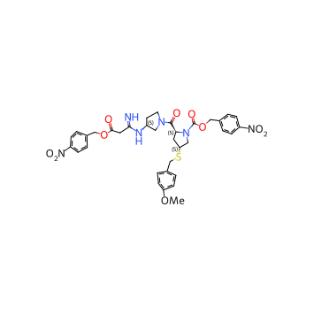 COc1ccc(CS[C@H]2C[C@@H](C(=O)N3CC[C@H](NC(=N)CC(=O)OCc4ccc([N+](=O)[O-])cc4)C3)N(C(=O)OCc3ccc([N+](=O)[O-])cc3)C2)cc1